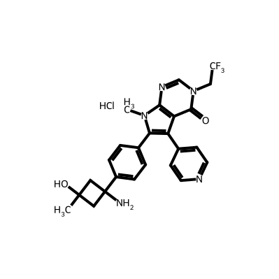 Cl.Cn1c(-c2ccc(C3(N)CC(C)(O)C3)cc2)c(-c2ccncc2)c2c(=O)n(CC(F)(F)F)cnc21